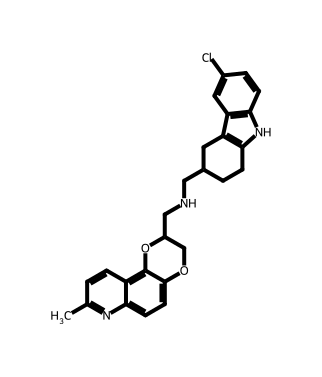 Cc1ccc2c3c(ccc2n1)OCC(CNCC1CCc2[nH]c4ccc(Cl)cc4c2C1)O3